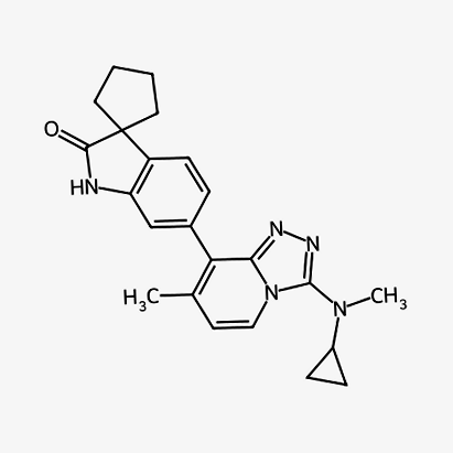 Cc1ccn2c(N(C)C3CC3)nnc2c1-c1ccc2c(c1)NC(=O)C21CCCC1